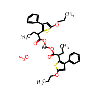 CCCOc1cc(-c2ccccc2)c(C(CC)C(=O)[O][Al][O]C(=O)C(CC)c2sc(OCCC)cc2-c2ccccc2)s1.O